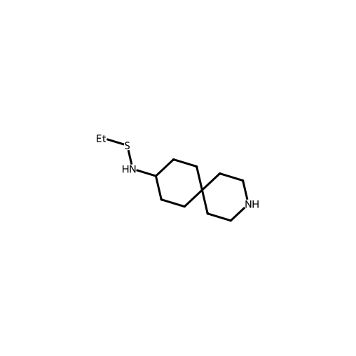 CCSNC1CCC2(CCNCC2)CC1